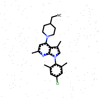 [C-]#[N+]CC1CCN(c2cc(C)nc3c2c(C)cn3-c2c(C)cc(Cl)cc2C)CC1